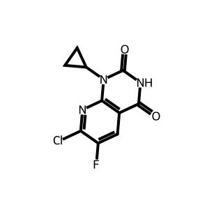 O=c1[nH]c(=O)n(C2CC2)c2nc(Cl)c(F)cc12